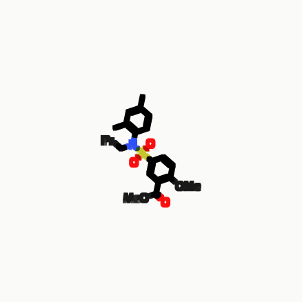 COC(=O)c1cc(S(=O)(=O)N(CC(C)C)c2ccc(C)cc2C)ccc1OC